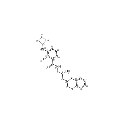 O=C(NC[C@H](O)CN1CCc2ccccc2C1)c1ncnc(NC2COC2)c1F